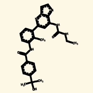 CCNC(=O)Nc1cc(-c2cccc(NC(=O)c3ccc(C(C)(C)O)cc3)c2C)nn2ccnc12